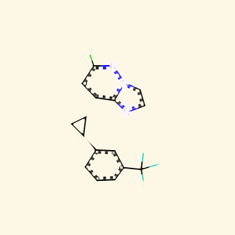 FC(F)(F)c1cccc([C@H]2C[C@@H]2c2cc(Cl)nn3ccnc23)c1